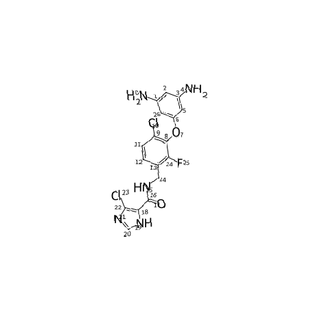 Nc1cc(N)cc(Oc2c(Cl)ccc(CNC(=O)c3[nH]cnc3Cl)c2F)c1